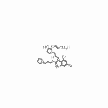 O=C(NCCCN1CCCC1)N(CCCN1CCCC1)c1c(Br)cc(Br)cc1Br.O=C(O)C=CC(=O)O